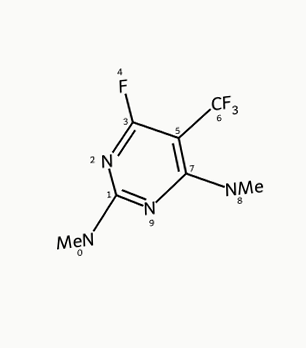 CNc1nc(F)c(C(F)(F)F)c(NC)n1